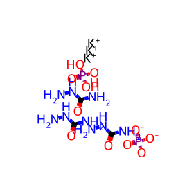 NNC(N)=O.NNC(N)=O.NNC(N)=O.O=P(O)(O)O.O=P([O-])([O-])[O-].[K+].[K+].[K+]